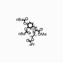 CCCCC(=O)Oc1ccc(C[C@H](NCCOC(=O)C(C)C)C(=O)OC)cc1OC(=O)CCCC